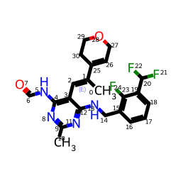 C/C(=C\c1c(NC=O)nc(C)nc1NCc1cccc(C(F)F)c1F)C1=CCOCC1